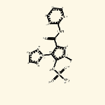 Cn1nc(C(=O)Nc2ncccn2)c(-n2ncnn2)c1OS(N)(=O)=O